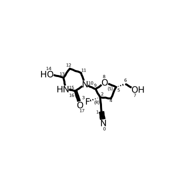 N#C[C@]1(F)C[C@@H](CO)OC1N1CCC(O)NC1=O